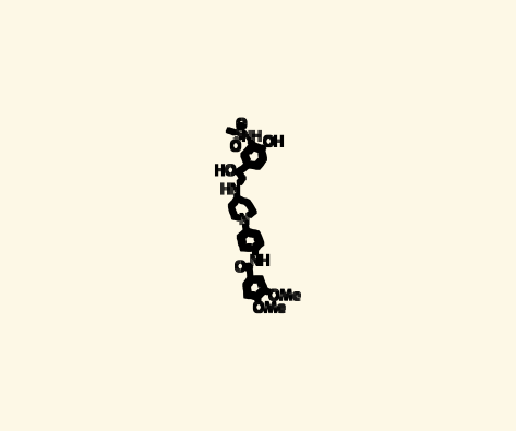 COc1ccc(C(=O)Nc2ccc(N3CCC(NCC(O)c4ccc(O)c(NS(C)(=O)=O)c4)CC3)cc2)cc1OC